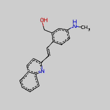 CNc1ccc(/C=C/c2ccc3ccccc3n2)c(CO)c1